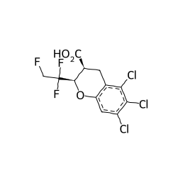 O=C(O)[C@H]1Cc2c(cc(Cl)c(Cl)c2Cl)O[C@H]1C(F)(F)CF